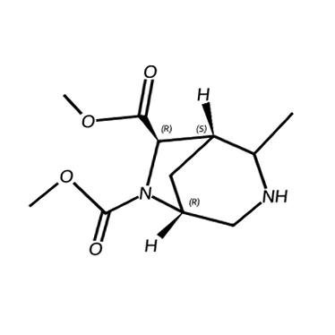 COC(=O)[C@H]1[C@H]2C[C@H](CNC2C)N1C(=O)OC